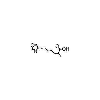 CCCCCC(C)C(=O)O.c1cocn1